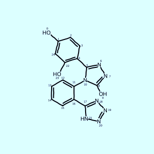 Oc1ccc(-c2nnc(O)n2-c2ccccc2-c2nnn[nH]2)c(O)c1